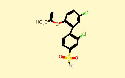 C=C(Oc1ccc(Cl)cc1-c1ccc(S(=O)(=O)CC)cc1Cl)C(=O)O